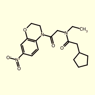 CCN(CC(=O)N1CCOc2cc([N+](=O)[O-])ccc21)C(=O)CC1CCCC1